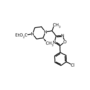 CCOC(=O)N1CCN(C(C)c2noc(-c3cccc(Cl)c3)n2)[C@@H](C)C1